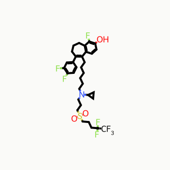 O=S(=O)(CCCN(CCCCCCC1=C(c2ccc(F)c(F)c2)CCCc2c1ccc(O)c2F)C1CC1)CCCC(F)(F)C(F)(F)F